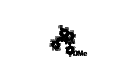 COc1cccc(C2=N[N+]3(C#N)C(=N2)C=Cc2cc(I)cc(NCc4ccncc4)c23)c1